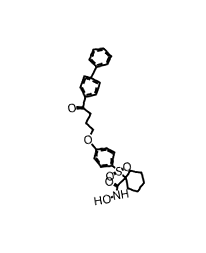 O=C(CCCOc1ccc(S(=O)(=O)C2(C(=O)NO)CCCCC2)cc1)c1ccc(-c2ccccc2)cc1